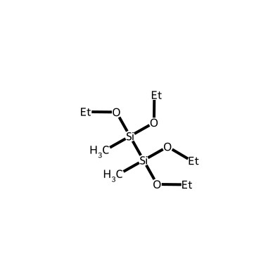 CCO[Si](C)(OCC)[Si](C)(OCC)OCC